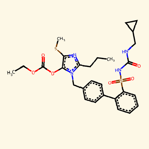 CCCc1nc(SC)c(OC(=O)OCC)n1Cc1ccc(-c2ccccc2S(=O)(=O)NC(=O)NCC2CC2)cc1